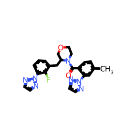 Cc1ccc(C(=O)N2CCOCC2Cc2cccc(-n3nccn3)c2F)c(-n2nccn2)c1